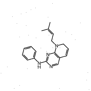 CC(C)=CCN1CC=Cc2cnc(Nc3ccccc3)nc21